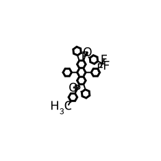 Cc1ccc(P2(=O)c3ccccc3-c3cc4c(-c5ccccc5)c5cc6c(cc5c(-c5ccccc5)c4cc32)-c2ccccc2P6(=O)c2ccc(C(F)(F)F)cc2)cc1